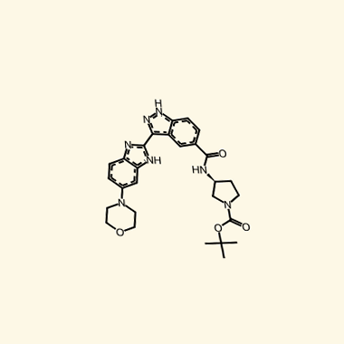 CC(C)(C)OC(=O)N1CC[C@H](NC(=O)c2ccc3[nH]nc(-c4nc5ccc(N6CCOCC6)cc5[nH]4)c3c2)C1